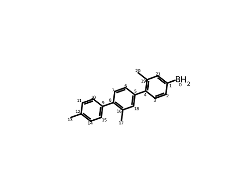 Bc1ccc(-c2ccc(-c3ccc(C)cc3)c(C)c2)c(C)c1